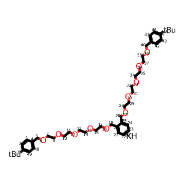 CC(C)(C)c1ccc(COCCOCCOCCOCCOCc2ccccc2COCCOCCOCCOCCOCc2ccc(C(C)(C)C)cc2)cc1.[KH]